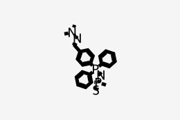 CN(C)N=Cc1ccc(P(=NP(C)(C)=S)(c2ccccc2)c2ccccc2)cc1